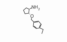 CCc1ccc(CO[C@@H]2CCC[C@H]2N)cc1